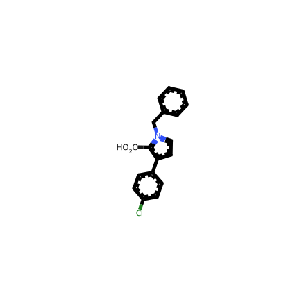 O=C(O)c1c(-c2ccc(Cl)cc2)ccn1Cc1ccccc1